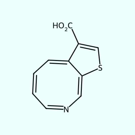 O=C(O)c1csc2c1=CC=CC=NC=2